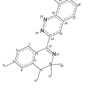 Cc1ccc2c(c1)C(C)C(C)(C)N=C2c1cc2cccc(F)c2nn1